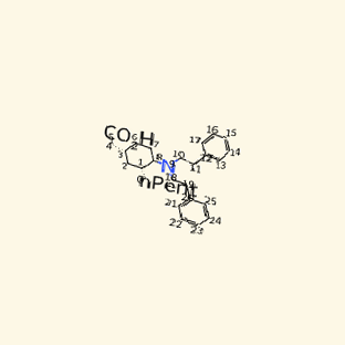 CCCCC[C@@H]1C[C@H](CC(=O)O)CC[C@H]1N(CCc1ccccc1)CCc1ccccc1